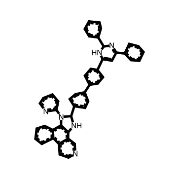 C1=C(c2ccc(-c3ccc(C4Nc5c(c6ccccc6c6ccncc56)N4c4ccccn4)cc3)cc2)NC(c2ccccc2)N=C1c1ccccc1